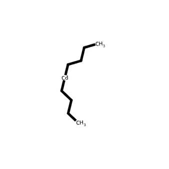 CCC[CH2][Cd][CH2]CCC